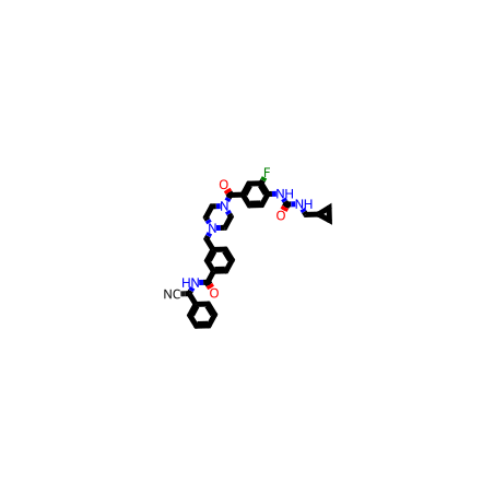 N#CC(NC(=O)c1cccc(CN2CCN(C(=O)c3ccc(NC(=O)NCC4CC4)c(F)c3)CC2)c1)c1ccccc1